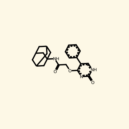 O=C(COc1nc(=O)[nH]cc1-c1ccccc1)NC12CC3CC(CC(C3)C1)C2